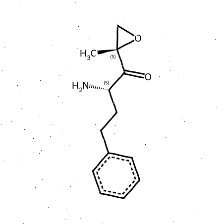 C[C@@]1(C(=O)[C@@H](N)CCc2ccccc2)CO1